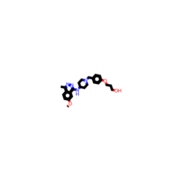 COc1ccc2c(C)nnc(NC3CCN(Cc4ccc(OCCCO)cc4)CC3)c2c1